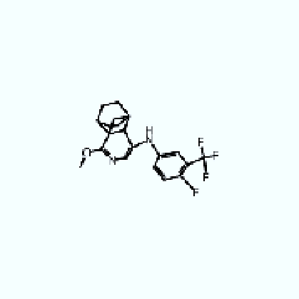 COC1=NC=C(Nc2ccc(F)c(C(F)(F)F)c2)C2C34CCC(CC3)C12C4